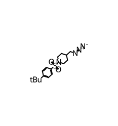 CC(C)(C)c1ccc(S(=O)(=O)N2CCC(CN=[N+]=[N-])CC2)cc1